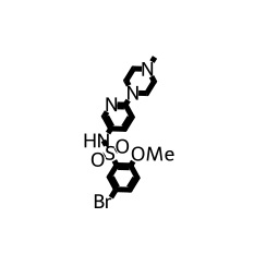 COc1ccc(Br)cc1S(=O)(=O)Nc1ccc(N2CCN(C)CC2)nc1